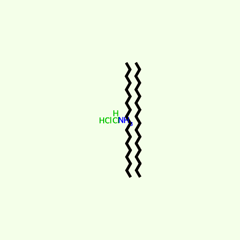 CCCCCCCCCCCCCCCCCC.CCCCCCCCCCCCCCCCCC.Cl.Cl.N